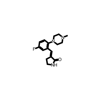 CN1CCN(c2ccc(F)cc2/C=C2\CCNC2=O)CC1